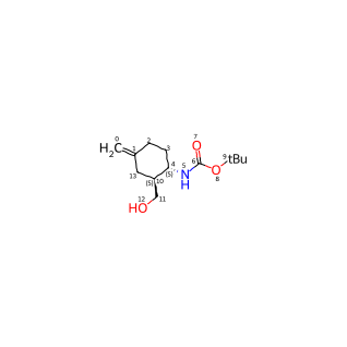 C=C1CC[C@H](NC(=O)OC(C)(C)C)[C@@H](CO)C1